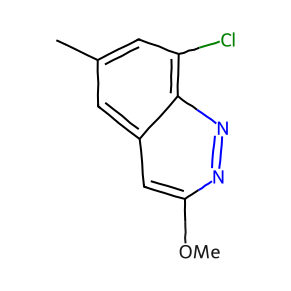 COc1cc2cc(C)cc(Cl)c2nn1